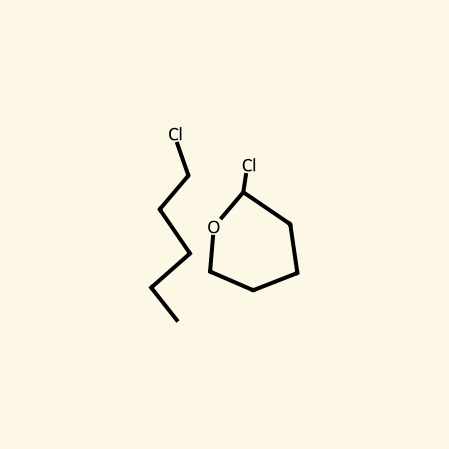 CCCCCCl.ClC1CCCCO1